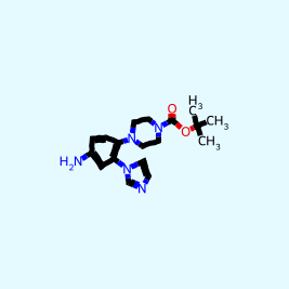 CC(C)(C)OC(=O)N1CCN(c2ccc(N)cc2-n2ccnc2)CC1